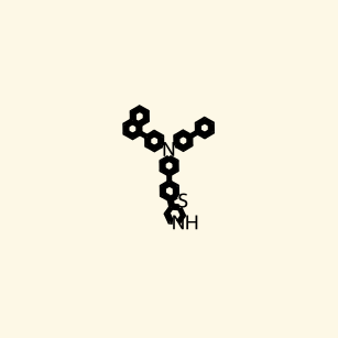 C1=Cc2c(sc3cc(-c4ccc(N(c5ccc(-c6ccccc6)cc5)c5ccc(-c6cccc7ccccc67)cc5)cc4)ccc23)CN1